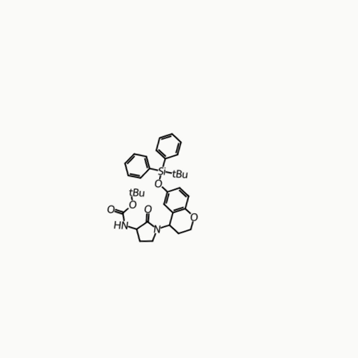 CC(C)(C)OC(=O)NC1CCN(C2CCOc3ccc(O[Si](c4ccccc4)(c4ccccc4)C(C)(C)C)cc32)C1=O